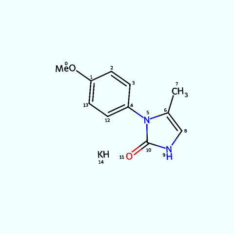 COc1ccc(-n2c(C)c[nH]c2=O)cc1.[KH]